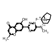 Cc1cc(=O)c2cc(O)c(-c3ncc(N(C)[C@H]4CC5CCC(N5)[C@H]4F)nn3)cc2o1